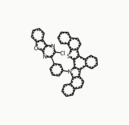 Clc1nc2c(nc1-c1cccc(-n3c4c5ccccc5ccc4c4c5ccccc5c5c6ccc7ccccc7c6sc5c43)c1)oc1ccccc12